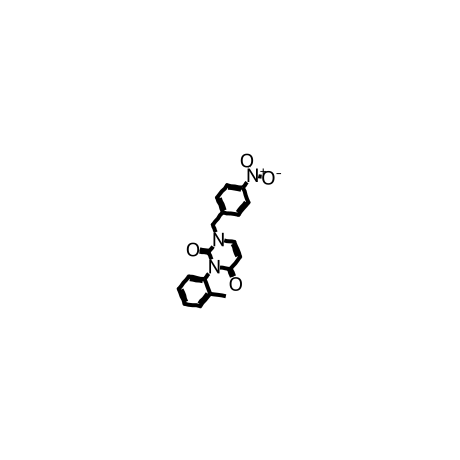 Cc1ccccc1-n1c(=O)ccn(Cc2ccc([N+](=O)[O-])cc2)c1=O